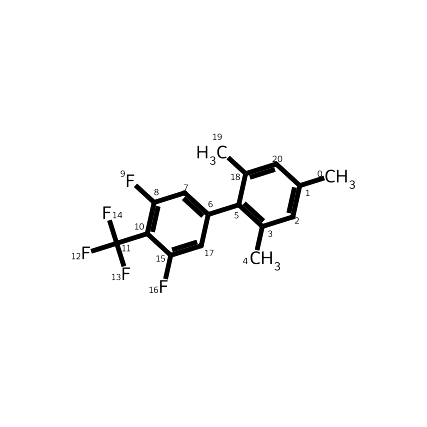 Cc1cc(C)c(-c2cc(F)c(C(F)(F)F)c(F)c2)c(C)c1